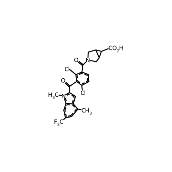 Cc1cc(C(F)(F)F)cc2c1cc(C(=O)c1c(Cl)ccc(C(=O)N3CC4C(C3)C4C(=O)O)c1Cl)n2C